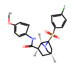 CC(C)Oc1ccc(NC(=O)[C@@H]2C[C@@H]3CC[C@H]2N(S(=O)(=O)c2ccc(F)cc2)C3)cc1